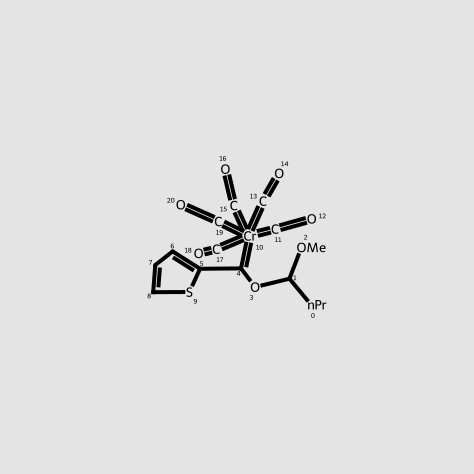 CCCC(OC)O[C](c1cccs1)=[Cr](=[C]=O)(=[C]=O)(=[C]=O)(=[C]=O)=[C]=O